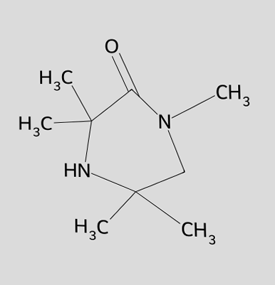 CN1CC(C)(C)NC(C)(C)C1=O